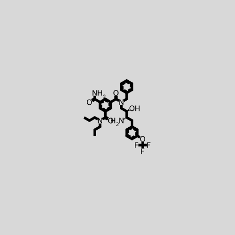 CCCN(CCC)C(=O)c1cc(C(N)=O)cc(C(=O)N(Cc2ccccc2)C[C@@H](O)[C@@H](N)Cc2cccc(OC(F)(F)F)c2)c1